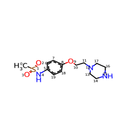 CS(=O)(=O)Nc1ccc(OCCN2CCNCC2)cc1